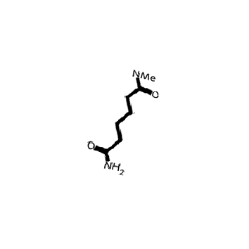 CNC(=O)C[CH]CCC(N)=O